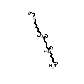 CCC(C)COCCCCCCCNC(=O)CCCC(=O)NCCCCON